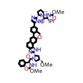 COC[C@H]1C[C@@H](c2nc3ccc4cc5c(cc4c3[nH]2)OCc2cc(-c3cnc([C@@H]4CC[C@H](C)N4C(=O)[C@@H](NC(=O)OC)C(C)C)[nH]3)ccc2-5)N(C(=O)[C@H](NC(=O)OC)c2ccccc2)C1